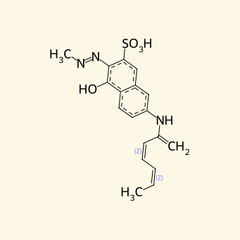 C=C(/C=C\C=C/C)Nc1ccc2c(O)c(N=NC)c(S(=O)(=O)O)cc2c1